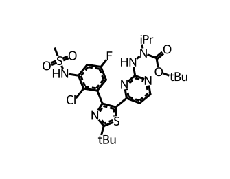 CC(C)N(Nc1nccc(-c2sc(C(C)(C)C)nc2-c2cc(F)cc(NS(C)(=O)=O)c2Cl)n1)C(=O)OC(C)(C)C